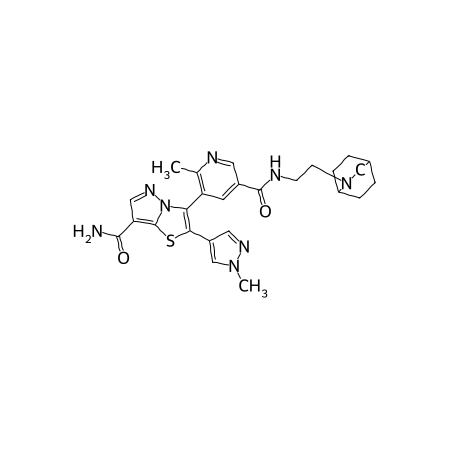 Cc1ncc(C(=O)NCCN2CC3CCC2CC3)cc1-c1c(-c2cnn(C)c2)sc2c(C(N)=O)cnn12